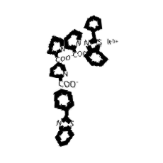 O=C([O-])c1ccccn1.O=C([O-])c1ccccn1.O=C([O-])c1ccccn1.[Ir+3].c1ccc(-c2nc3ccccc3s2)cc1.c1ccc(-c2nc3ccccc3s2)cc1